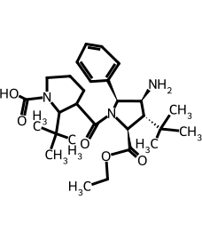 CCOC(=O)[C@@H]1[C@@H](C(C)(C)C)[C@H](N)[C@H](c2ccccc2)N1C(=O)C1CCCN(C(=O)O)C1C(C)(C)C